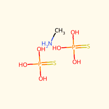 CN.OP(O)(O)=S.OP(O)(O)=S